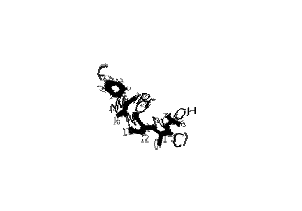 CC1=C(Cl)C(C(C)(C)O)=NC1C1CCN(c2cnn(-c3ccc(F)cc3)c2C(C)C)C1=O